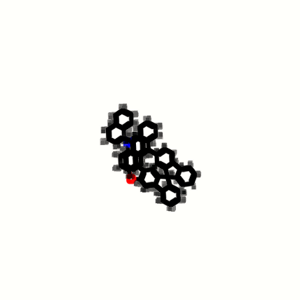 c1ccc2c(c1)-c1ccc(-c3c4ccccc4c(-c4cccc5ccccc45)c4ccccc34)cc1C21c2ccccc2-c2cc3oc4ccc5ncccc5c4c3cc21